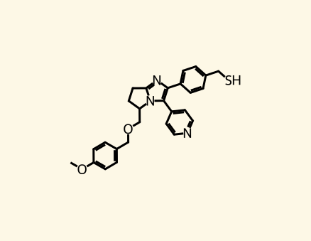 COc1ccc(COCC2CCc3nc(-c4ccc(CS)cc4)c(-c4ccncc4)n32)cc1